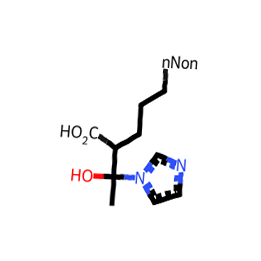 CCCCCCCCCCCCC(C(=O)O)C(C)(O)n1ccnc1